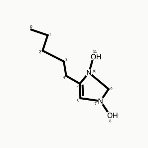 CCCCCC1=CN(O)CN1O